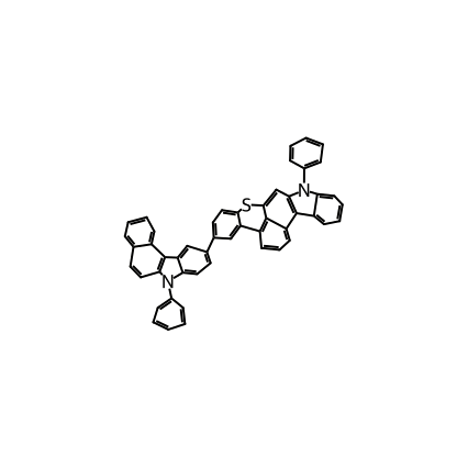 c1ccc(-n2c3ccc(-c4ccc5c(c4)-c4cccc6c4c(cc4c6c6ccccc6n4-c4ccccc4)S5)cc3c3c4ccccc4ccc32)cc1